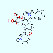 CN1CCCC(Oc2ccc3c4c(ccc3c2)CCN(CC2CCCCC2)C4)CC1.O=C(O)C(=O)O